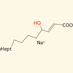 CCCCCCCCCCCC(O)C=CC(=O)[O-].[Na+]